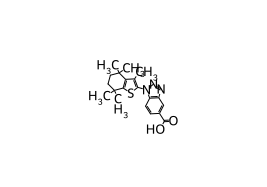 Cc1c(-n2nnc3cc(C(=O)O)ccc32)sc2c1C(C)(C)CCC2(C)C